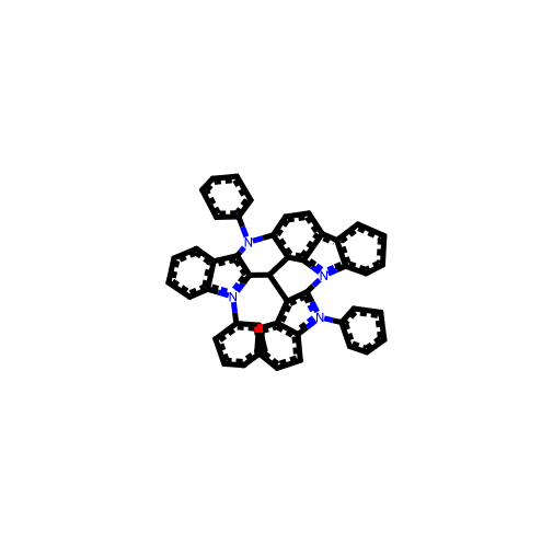 c1ccc(N2c3ccc4c5ccccc5n5c4c3C(c3c-5n(-c4ccccc4)c4ccccc34)c3c2c2ccccc2n3-c2ccccc2)cc1